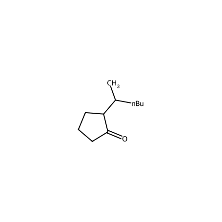 CCCCC(C)C1CCCC1=O